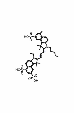 CCCCCN1/C(=C/C=C/C2=[N+](CC)c3ccc4c(S(=O)(=O)O)cc(S(=O)(=O)O)cc4c3C2(C)C)C(C)(C)c2c1ccc1c(C)cc(S(=O)(=O)O)cc21